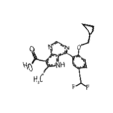 Cc1[nH]c2c(-c3cc(C(F)F)ccc3OCC3CC3)ncnc2c1C(=O)O